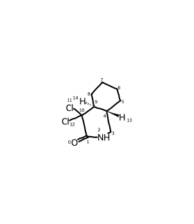 O=C1NC[C@H]2CCCC[C@@H]2C1(Cl)Cl